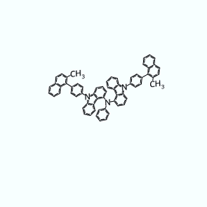 Cc1ccc2ccccc2c1-c1ccc(-n2c3ccccc3c3c(N(c4ccccc4)c4cccc5c4c4ccccc4n5-c4ccc(-c5c(C)ccc6ccccc56)cc4)cccc32)cc1